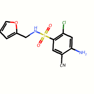 N#Cc1cc(S(=O)(=O)NCc2ccco2)c(Cl)cc1N